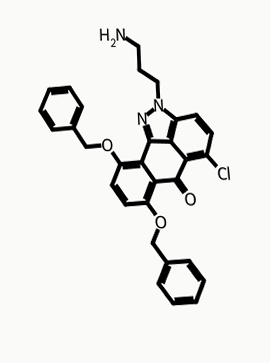 NCCCn1nc2c3c(c(Cl)ccc31)C(=O)c1c(OCc3ccccc3)ccc(OCc3ccccc3)c1-2